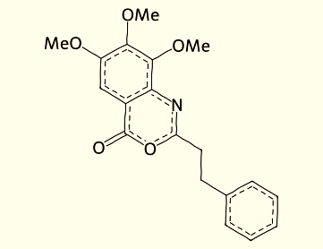 COc1cc2c(=O)oc(CCc3ccccc3)nc2c(OC)c1OC